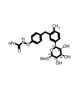 CCCC(=O)NOc1ccc(Cc2cc([C@@H]3O[C@H](SC)[C@@H](O)[C@H](O)[C@H]3O)ccc2C)cc1